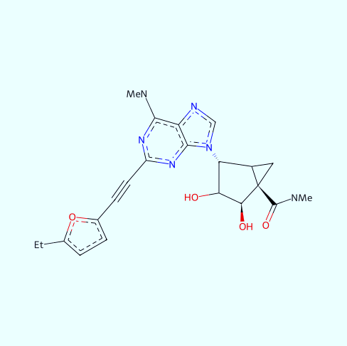 CCc1ccc(C#Cc2nc(NC)c3ncn([C@H]4C(O)[C@H](O)[C@@]5(C(=O)NC)CC45)c3n2)o1